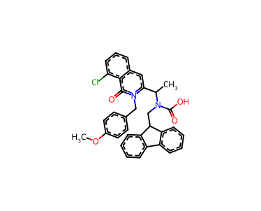 COc1ccc(Cn2c(C(C)N(CC3c4ccccc4-c4ccccc43)C(=O)O)cc3cccc(Cl)c3c2=O)cc1